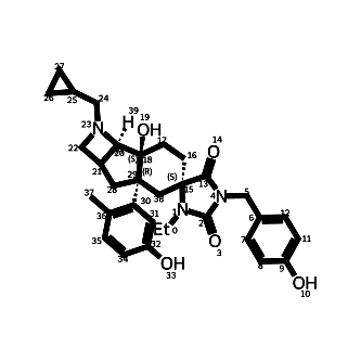 CCN1C(=O)N(Cc2ccc(O)cc2)C(=O)[C@@]12CC[C@@]1(O)[C@H]3C(CN3CC3CC3)C[C@]1(c1cc(O)ccc1C)C2